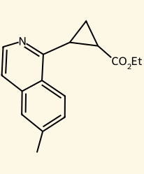 CCOC(=O)C1CC1c1nccc2cc(C)ccc12